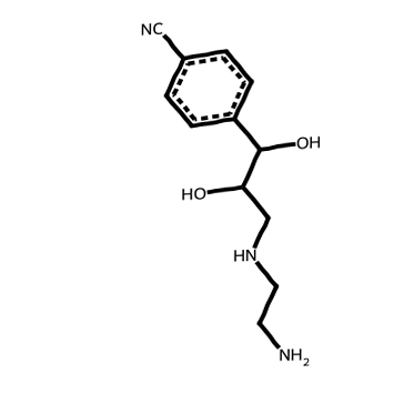 N#Cc1ccc(C(O)C(O)CNCCN)cc1